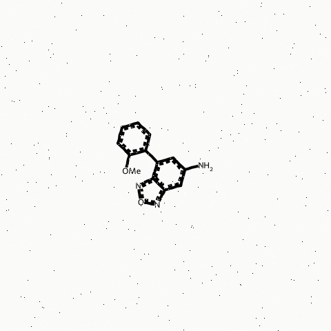 COc1ccccc1-c1cc(N)cc2nonc12